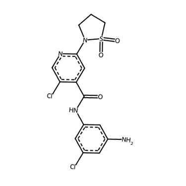 Nc1cc(Cl)cc(NC(=O)c2cc(N3CCCS3(=O)=O)ncc2Cl)c1